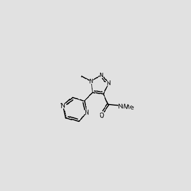 CNC(=O)c1nnn(C)c1-c1cnccn1